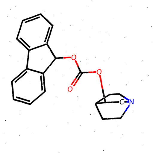 O=C(OC1c2ccccc2-c2ccccc21)OC1CN2CCC1CC2